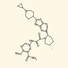 COc1ncc(NC(=O)C(=O)N2C[C@@H](C)CC[C@@H]2c2ccc3sc(C4CCN(C5CC5)CC4)nc3c2)cc1C(N)=O